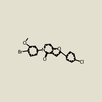 COc1cc(-n2ccc3oc(-c4ccc(Cl)cc4)cc3c2=O)ccc1Br